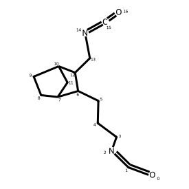 O=C=NCCCC1C2CCC(C2)C1CN=C=O